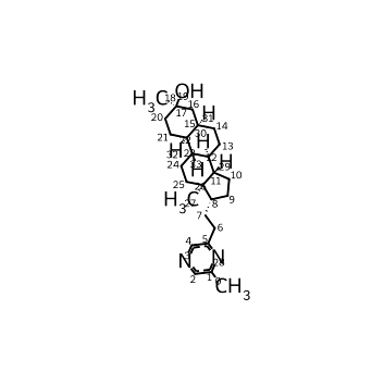 Cc1cncc(CC[C@H]2CC[C@H]3[C@@H]4CC[C@@H]5C[C@](C)(O)CC[C@@H]5[C@H]4CC[C@]23C)n1